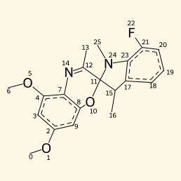 COc1cc(OC)c2c(c1)OC1(C(C)=N2)C(C)c2cccc(F)c2N1C